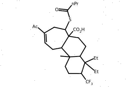 CCCC(=O)SC1CC(C(C)=O)=CCC2C3(C)CCC(C(F)(F)F)C(CC)(CC)C3CCC12C(=O)O